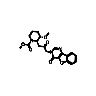 COC(=O)N1CCC[C@H](OC)[C@H]1CC(=O)Cn1cnc2c(oc3ccccc32)c1=O